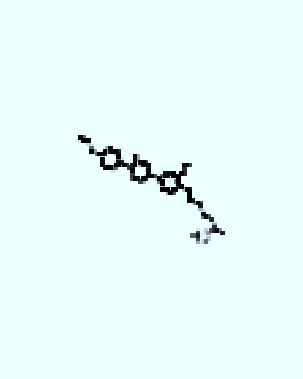 C=CCc1ccc(-c2ccc(-c3ccc(C=CCCCC(C)O)c(F)c3)cn2)cc1